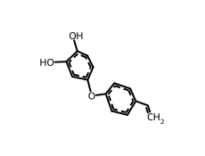 C=Cc1ccc(Oc2ccc(O)c(O)c2)cc1